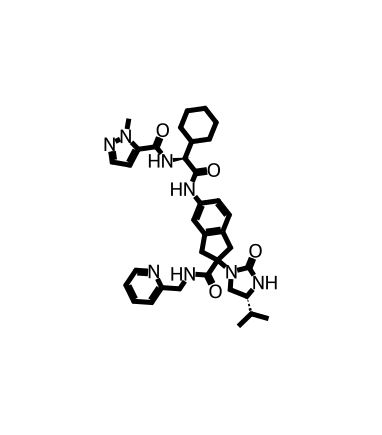 CC(C)[C@@H]1CN(C2(C(=O)NCc3ccccn3)Cc3ccc(NC(=O)[C@@H](NC(=O)c4ccnn4C)C4CCCCC4)cc3C2)C(=O)N1